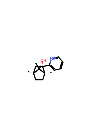 CC1(C)[C@H]2CC[C@]1(C)[C@](O)(c1ccccn1)C2